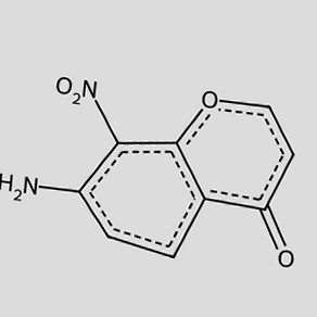 Nc1ccc2c(=O)ccoc2c1[N+](=O)[O-]